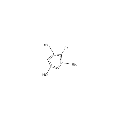 CCc1c(C(C)(C)C)cc(O)cc1C(C)(C)C